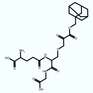 NC(CCC(=O)NC(CSCC(=O)C(=O)OCC12CC3CC(CC(C3)C1)C2)C(=O)NCC(=O)O)C(=O)O